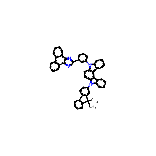 CC1(C)c2ccccc2-c2ccc(-n3c4ccccc4c4c5c6ccccc6n(-c6cccc(-c7cnc8c9ccccc9c9ccccc9c8n7)c6)c5ccc43)cc21